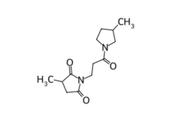 CC1CCN(C(=O)CCN2C(=O)CC(C)C2=O)C1